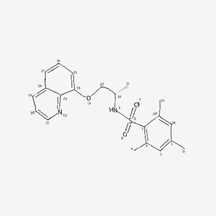 Cc1cc(C)c(S(=O)(=O)N[C@@H](C)COc2cccc3cccnc23)c(C)c1